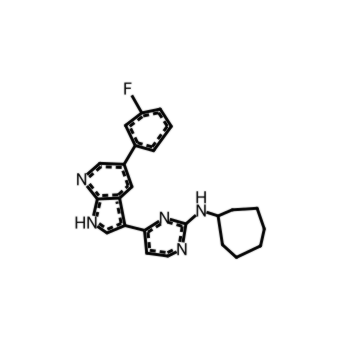 Fc1cccc(-c2cnc3[nH]cc(-c4ccnc(NC5CCCCCC5)n4)c3c2)c1